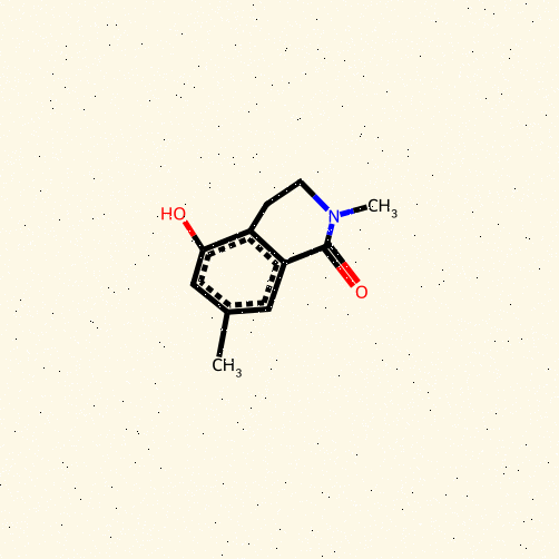 Cc1cc(O)c2c(c1)C(=O)N(C)CC2